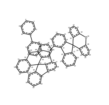 c1ccc(-c2cccc(N(c3cccc4c3-c3ccccc3C43c4ccccc4Oc4ccccc43)c3cccc4c3C3(c5ccccc5Oc5ccccc53)c3ccccc3-4)c2)cc1